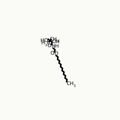 CCCCCCCCCCCCCCCCOC(=O)CCNC(=O)C(O)C(C)(C)CO